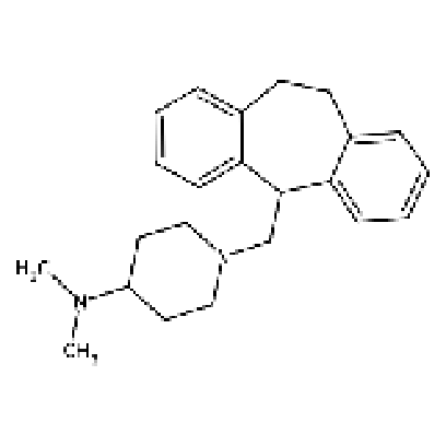 CN(C)C1CCN(CC2c3ccccc3CCc3ccccc32)CC1